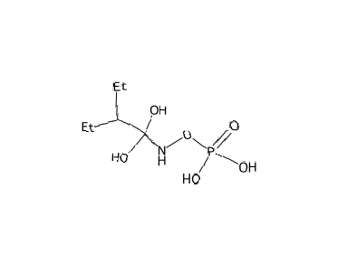 CCC(CC)C(O)(O)NOP(=O)(O)O